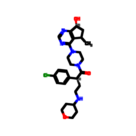 CC1C[C@@H](O)c2ncnc(N3CCN(C(=O)[C@H](CCNC4CCOCC4)c4ccc(Cl)cc4)CC3)c21